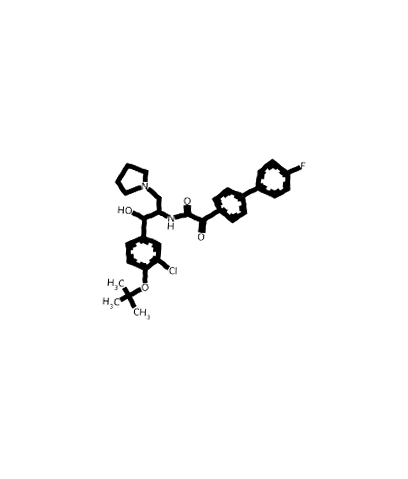 CC(C)(C)Oc1ccc(C(O)C(CN2CCCC2)NC(=O)C(=O)c2ccc(-c3ccc(F)cc3)cc2)cc1Cl